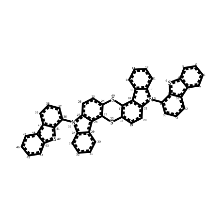 c1ccc2c(c1)sc1c(-n3c4ccccc4c4c5c(ccc43)Sc3c(ccc4c3c3ccccc3n4-c3cccc4c3sc3ccccc34)S5)cccc12